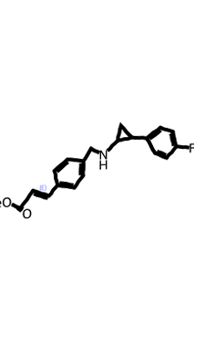 COC(=O)/C=C/c1ccc(CNC2CC2c2ccc(F)cc2)cc1